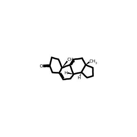 C[C@]12CCC(=O)CC1=CC[C@@H]1C2=CC[C@]2(C)CCC[C@@H]12